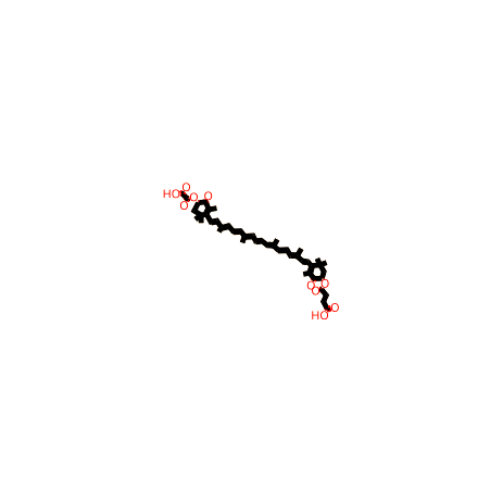 CC1=C(/C=C/C(C)=C/C=C/C(C)=C/C=C/C=C(C)/C=C/C=C(C)/C=C/C2=C(C)C(=O)C(OC(=O)C(=O)O)CC2(C)C)C(C)(C)CC(OC(=O)CCC(=O)O)C1=O